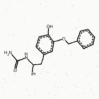 CC(C)C(Cc1ccc(O)c(OCc2ccccc2)c1)NC(N)=O